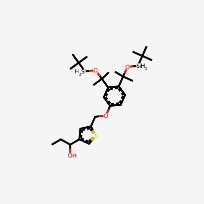 CCC(O)c1csc(COc2ccc(C(C)(C)O[SiH2]C(C)(C)C)c(C(C)(C)O[SiH2]C(C)(C)C)c2)c1